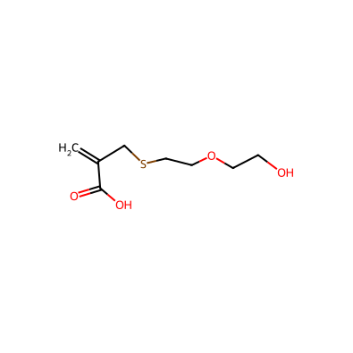 C=C(CSCCOCCO)C(=O)O